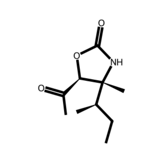 CC[C@@H](C)[C@@]1(C)NC(=O)O[C@@H]1C(C)=O